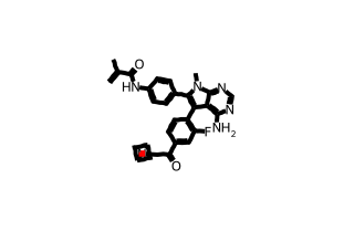 C=C(C)C(=O)Nc1ccc(-c2c(-c3ccc(C(=O)N4CC5CC4C5)cc3F)c3c(N)ncnc3n2C)cc1